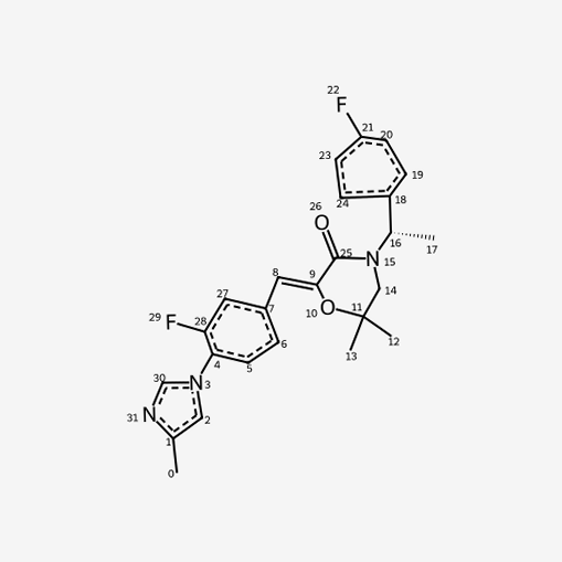 Cc1cn(-c2ccc(/C=C3\OC(C)(C)CN([C@@H](C)c4ccc(F)cc4)C3=O)cc2F)cn1